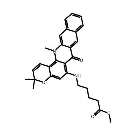 COC(=O)CCCCNc1cc2c(c3c1c(=O)c1cc4ccccc4cc1n3C)C=CC(C)(C)O2